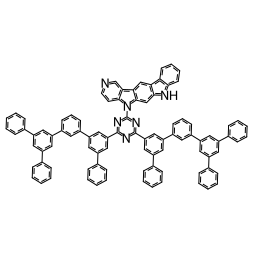 c1ccc(-c2cc(-c3ccccc3)cc(-c3cccc(-c4cc(-c5ccccc5)cc(-c5nc(-c6cc(-c7ccccc7)cc(-c7cccc(-c8cc(-c9ccccc9)cc(-c9ccccc9)c8)c7)c6)nc(-n6c7ccncc7c7cc8c(cc76)[nH]c6ccccc68)n5)c4)c3)c2)cc1